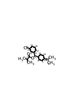 C=C(C)C(=O)OC(c1ccc(N(C)C)cc1)c1cccc(Cl)c1